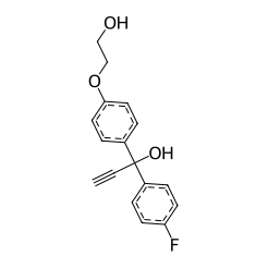 C#CC(O)(c1ccc(F)cc1)c1ccc(OCCO)cc1